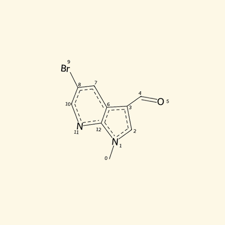 Cn1cc(C=O)c2cc(Br)cnc21